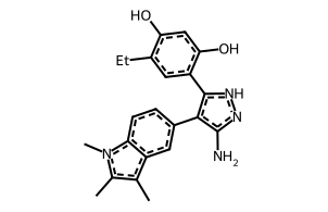 CCc1cc(-c2[nH]nc(N)c2-c2ccc3c(c2)c(C)c(C)n3C)c(O)cc1O